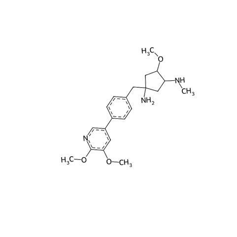 CNC1CC(N)(Cc2ccc(-c3cnc(OC)c(OC)c3)cc2)CC1OC